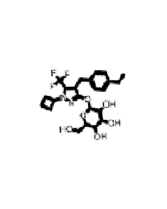 CCc1ccc(Cc2c(OC3OC(CO)C(O)C(O)C3O)nn(C3CCC3)c2C(F)(F)F)cc1